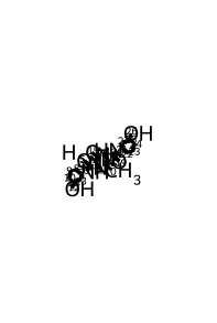 CC1=NN(C(=O)Nc2cccc(O)c2)C(C)=NN1C(=O)Nc1cccc(O)c1